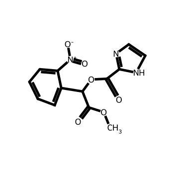 COC(=O)C(OC(=O)c1ncc[nH]1)c1ccccc1[N+](=O)[O-]